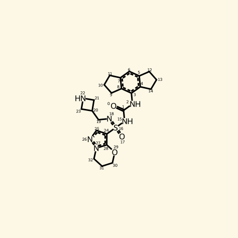 O=C(Nc1c2c(cc3c1CCC3)CCC2)NS(=O)(=NCC1CNC1)c1cnn2c1OCCC2